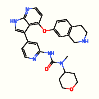 CN(C(=O)Nc1cc(-c2c[nH]c3nccc(Oc4ccc5c(c4)CNCC5)c23)ccn1)C1CCOCC1